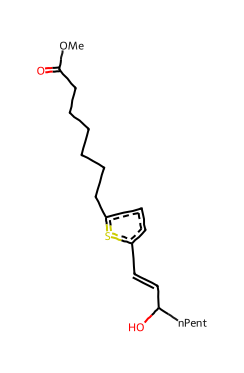 CCCCCC(O)/C=C/c1ccc(CCCCCCC(=O)OC)s1